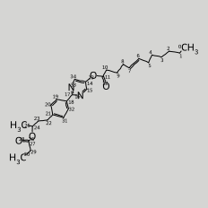 CCCCCCC=CCCCC(=O)Oc1cnc(-c2ccc(CCC(C)OC(=O)CC)cc2)nc1